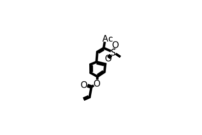 C=CC(=O)Oc1ccc(/C=C(/C(C)=O)S(C)(=O)=O)cc1